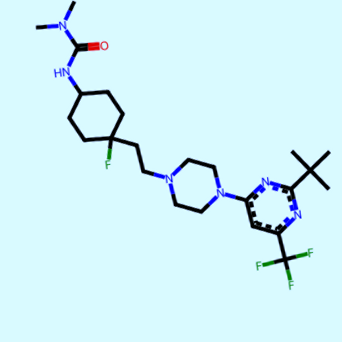 CN(C)C(=O)NC1CCC(F)(CCN2CCN(c3cc(C(F)(F)F)nc(C(C)(C)C)n3)CC2)CC1